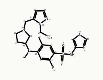 Cc1cc(S(=O)(=O)Nc2cscn2)c(F)cc1N(C)C1CCN(Cc2ccnn2CC(F)(F)F)C1